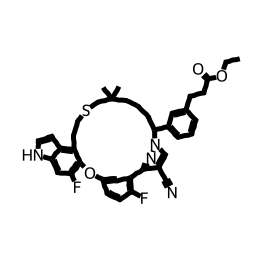 CCOC(=O)CCc1cccc(C2CCCC(C)(C)CSCCc3c(c(F)cc4[nH]ccc34)Oc3ccc(F)c(c3)-c3nn2cc3C#N)c1